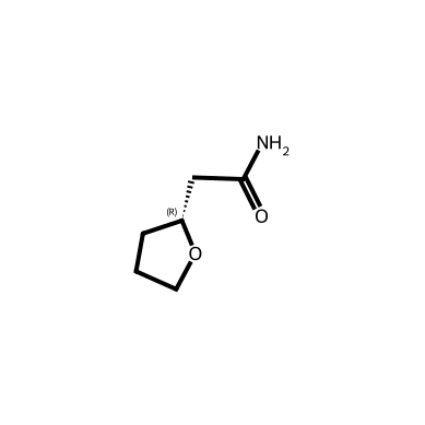 NC(=O)C[C@H]1CCCO1